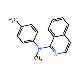 Cc1ccc(N(C)c2nccc3ccccc23)cc1